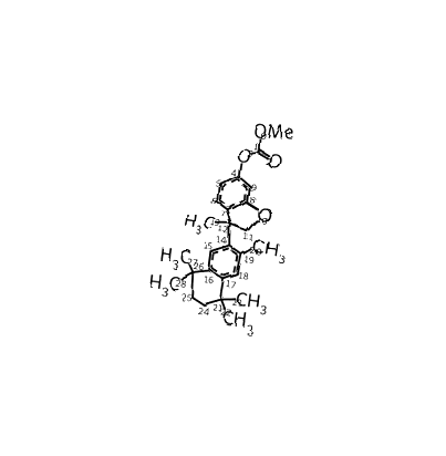 COC(=O)Oc1ccc2c(c1)OCC2(C)c1cc2c(cc1C)C(C)(C)CCC2(C)C